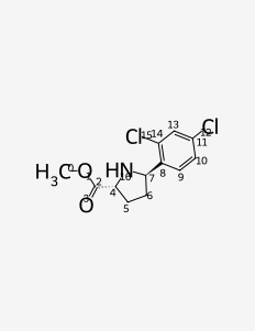 COC(=O)[C@H]1CC[C@H](c2ccc(Cl)cc2Cl)N1